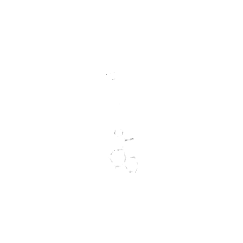 O=C(OCCCOCCCO)c1cccc2ccccc12